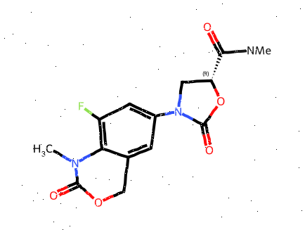 CNC(=O)[C@H]1CN(c2cc(F)c3c(c2)COC(=O)N3C)C(=O)O1